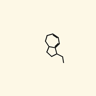 CCC1CCC2CCC=CC=C12